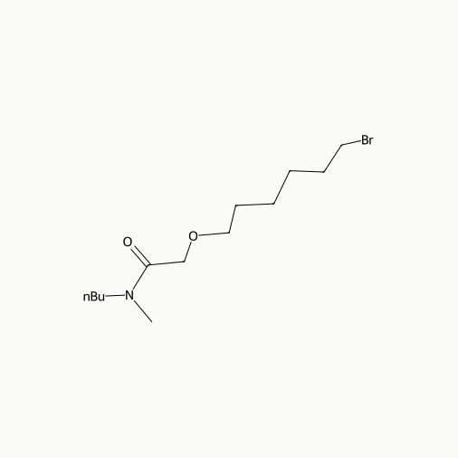 CCCCN(C)C(=O)COCCCCCCBr